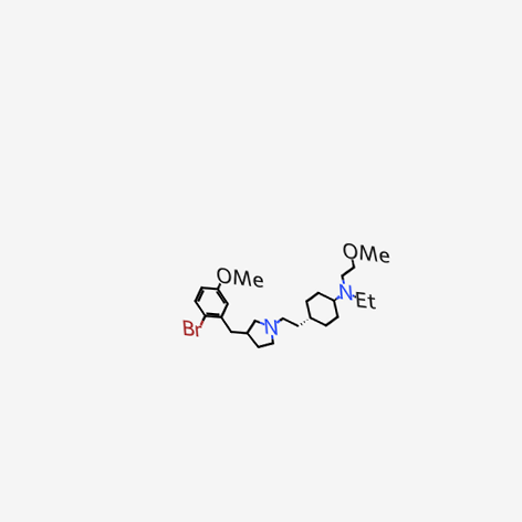 CCN(CCOC)[C@H]1CC[C@H](CCN2CCC(Cc3cc(OC)ccc3Br)C2)CC1